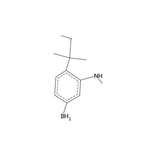 Bc1ccc(C(C)(C)CC)c(NC)c1